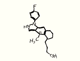 C[C@H]1C2=CNN(c3ccc(F)cc3)C2=CC2=C1C(CCCO)CCC2